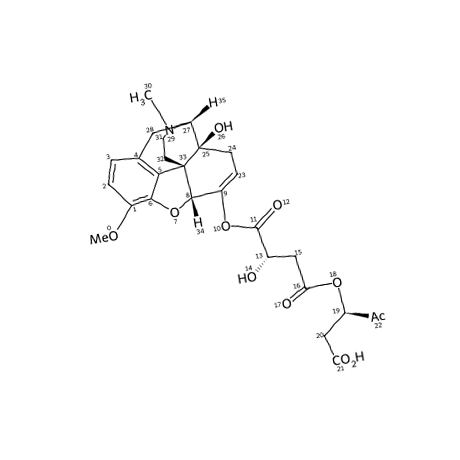 COc1ccc2c3c1O[C@H]1C(OC(=O)[C@@H](O)CC(=O)O[C@H](CC(=O)O)C(C)=O)=CC[C@@]4(O)[C@@H](C2)N(C)CC[C@]314